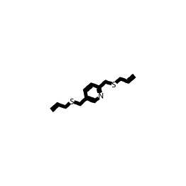 C=CCSCc1ccc(CSCC=C)nc1